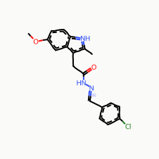 COc1ccc2[nH]c(C)c(CC(=O)N/N=C/c3ccc(Cl)cc3)c2c1